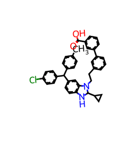 Cc1ccc(C(c2ccc(Cl)cc2)c2ccc3c(c2)N(CCc2cccc(-c4cccc(C(=O)O)c4)c2)C(C2CC2)N3)cc1